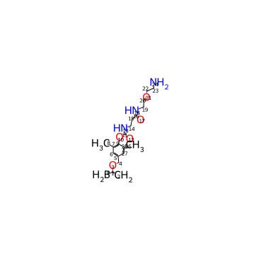 BC(=C)OCc1cc(C)c(OC(=O)NCCC(=O)NCCOCCN)c(C)c1